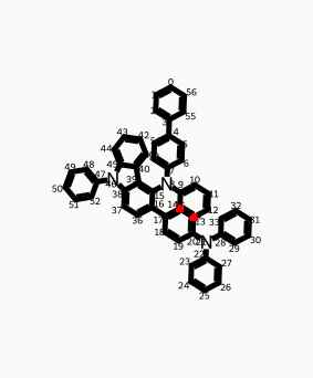 c1ccc(-c2ccc(N(c3ccccc3)c3c(-c4ccc(N(c5ccccc5)c5ccccc5)cc4)ccc4c3c3ccccc3n4-c3ccccc3)cc2)cc1